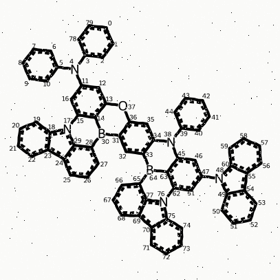 c1ccc(N(c2ccccc2)c2cc3c4c(c2)-n2c5ccccc5c5cccc(c52)B4c2cc4c(cc2O3)N(c2ccccc2)c2cc(-n3c5ccccc5c5ccccc53)cc3c2B4c2cccc4c5ccccc5n-3c24)cc1